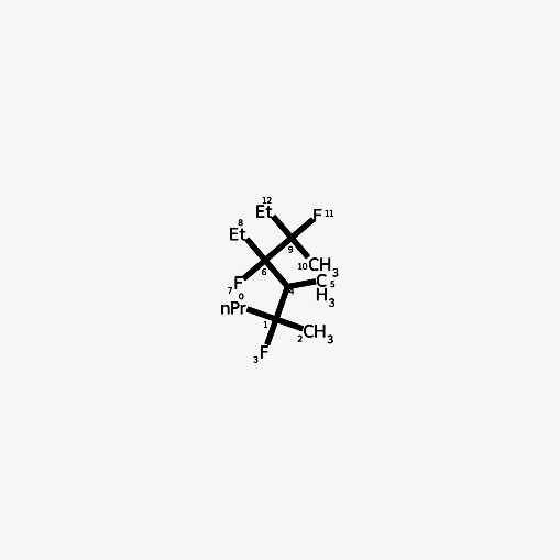 CCCC(C)(F)C(C)C(F)(CC)C(C)(F)CC